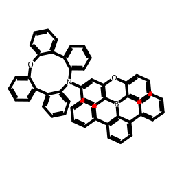 c1ccc(-c2cccc(-c3ccccc3)c2B2c3ccccc3Oc3cc(N4c5ccccc5-c5ccccc5Oc5ccccc5-c5ccccc54)ccc32)cc1